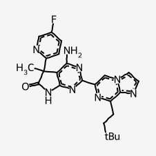 CC(C)(C)CCc1nc(-c2nc(N)c3c(n2)NC(=O)C3(C)c2ccc(F)cn2)cn2ccnc12